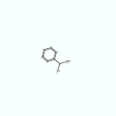 CCC(O)c1[c]cccc1